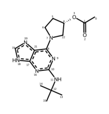 CC(=O)O[C@H]1CCN(c2nc(NC(C)(C)C)nc3[nH]cnc23)C1